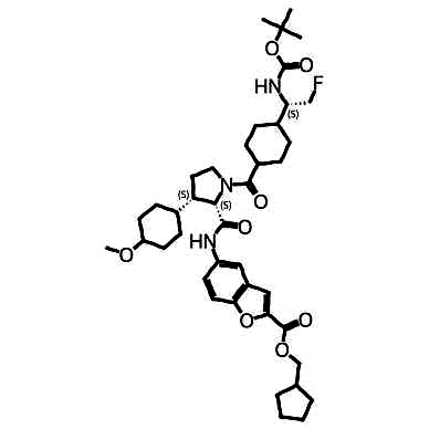 COC1CCC([C@@H]2CCN(C(=O)C3CCC([C@@H](CF)NC(=O)OC(C)(C)C)CC3)[C@@H]2C(=O)Nc2ccc3oc(C(=O)OCC4CCCC4)cc3c2)CC1